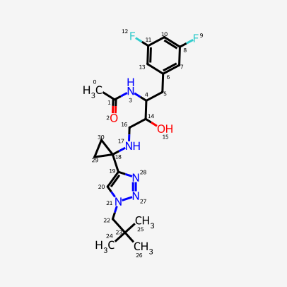 CC(=O)NC(Cc1cc(F)cc(F)c1)C(O)CNC1(c2cn(CC(C)(C)C)nn2)CC1